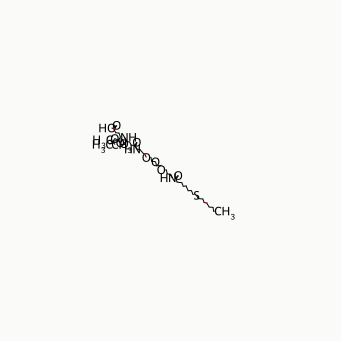 CCCCCCCCSCCCCCCCC(=O)NCCCOCCOCCOCCCNC(=O)CCC(=O)NC(CCC(=O)O)C(=O)OC(C)(C)C